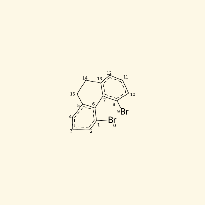 Brc1cccc2c1-c1c(Br)cccc1CC2